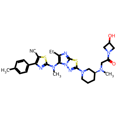 CCc1nc2sc(N3CCC[C@H](N(C)CC(=O)N4CC(O)C4)C3)nn2c1N(C)c1nc(-c2ccc(C)cc2)c(C#N)s1